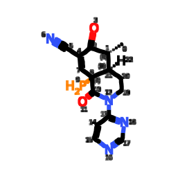 C[C@H]1C(=O)C(C#N)=C[C@@]2(P)C(=O)N(c3ccncn3)CC[C@H]12